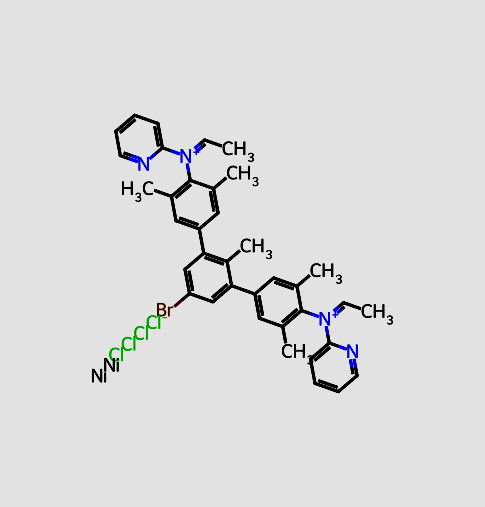 CC=[N+](c1ccccn1)c1c(C)cc(-c2cc(Br)cc(-c3cc(C)c([N+](=CC)c4ccccn4)c(C)c3)c2C)cc1C.[Cl-].[Cl-].[Cl-].[Cl-].[Ni].[Ni]